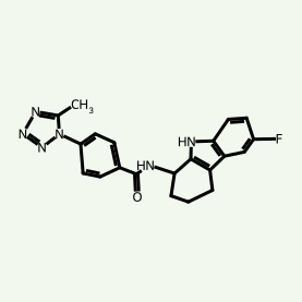 Cc1nnnn1-c1ccc(C(=O)NC2CCCc3c2[nH]c2ccc(F)cc32)cc1